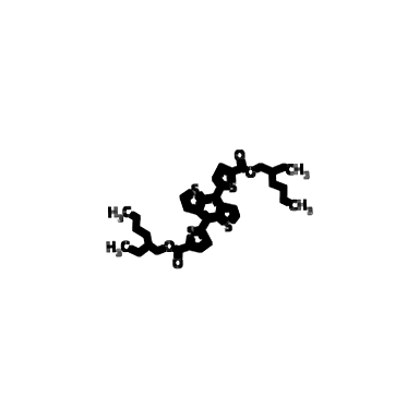 CCCCC(CC)COC(=O)c1ccc(-c2c3ccsc3c(-c3ccc(C(=O)OCC(CC)CCCC)s3)c3ccsc23)s1